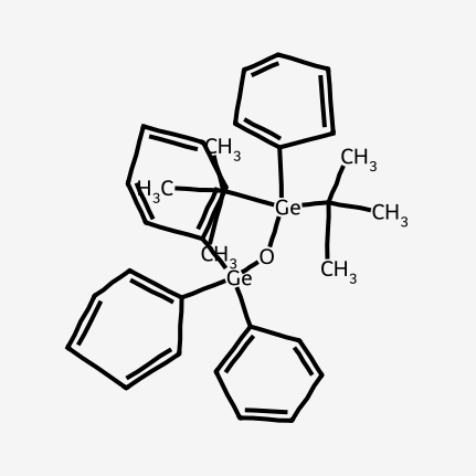 C[C](C)(C)[Ge]([O][Ge]([c]1ccccc1)([c]1ccccc1)[c]1ccccc1)([c]1ccccc1)[C](C)(C)C